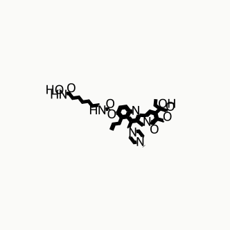 C=CCc1c(OC(=O)NCCCCCCC(=O)NO)ccc2nc3c(c(CN4CCN(C)CC4)c12)Cn1c-3cc2c(c1=O)COC(=O)[C@]2(O)CC